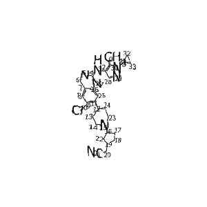 Cc1c(Nc2ncc3cc(Cl)c(C4CCN(C5CCC(CC#N)C5)CC4)cc3n2)cnn1C1CC1